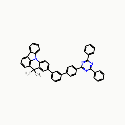 CC1(C)c2cc(-c3cccc(-c4ccc(-c5nc(-c6ccccc6)nc(-c6ccccc6)n5)cc4)c3)ccc2-n2c3ccccc3c3cccc1c32